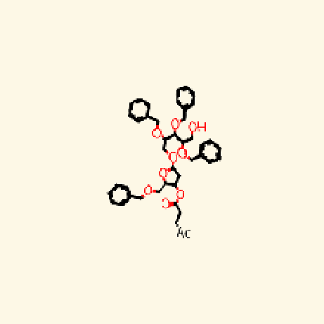 CC(=O)CCC(=O)OC1C[C@H](OCC(OCc2ccccc2)C(OCc2ccccc2)C(CO)OCc2ccccc2)O[C@@H]1COCc1ccccc1